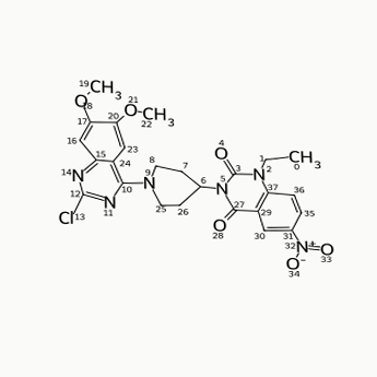 CCn1c(=O)n(C2CCN(c3nc(Cl)nc4cc(OC)c(OC)cc34)CC2)c(=O)c2cc([N+](=O)[O-])ccc21